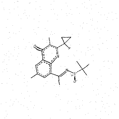 CC(=N[S@+]([O-])C(C)(C)C)c1cc(C)cc2c(=O)n(C)c(C3(F)CC3)nc12